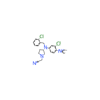 [C-]#[N+]c1ccc(N(Cc2ccccc2Cl)[C@H]2CCN(CC#N)C2)cc1Cl